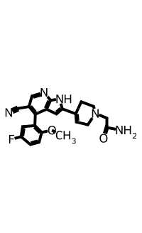 COc1ccc(F)cc1-c1c(C#N)cnc2[nH]c(C3=CCN(CC(N)=O)CC3)cc12